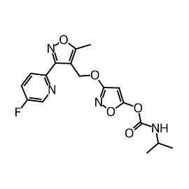 Cc1onc(-c2ccc(F)cn2)c1COc1cc(OC(=O)NC(C)C)on1